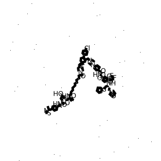 Cc1ncsc1-c1ccc([C@H](C)NC(=O)[C@@H]2C[C@@H](O)CN2C(=O)[C@@H](NC(=O)CCCCCCCCCC(=O)N2CCN(CC3(C)CCC(c4ccc(Cl)cc4)=C(CN4CCN(c5ccc(C(=O)NS(=O)(=O)c6ccc(N[C@H](CCN7CCOCC7)CSc7ccccc7)c(S(=O)(=O)C(F)(F)F)c6)cc5)CC4)C3)CC2)C(C)(C)C)cc1